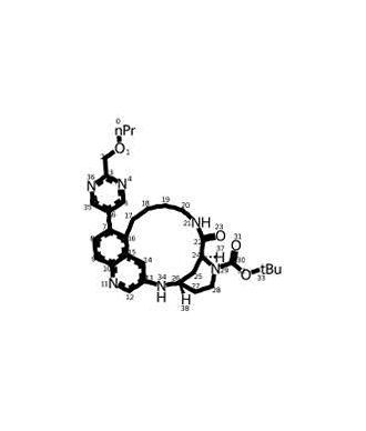 CCCOCc1ncc(-c2ccc3ncc4cc3c2CCCCNC(=O)[C@@H]2C[C@H](CCN2C(=O)OC(C)(C)C)N4)cn1